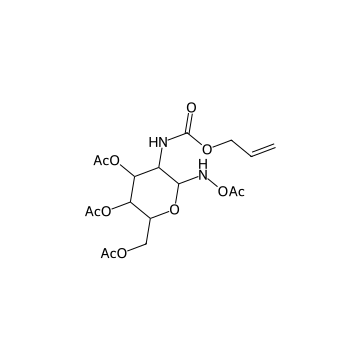 C=CCOC(=O)NC1C(NOC(C)=O)OC(COC(C)=O)C(OC(C)=O)C1OC(C)=O